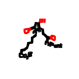 CCCCCC(=O)C=C[C@H]1[C@H](O)CC(=O)[C@H]1CCCCCCC(=O)OCC